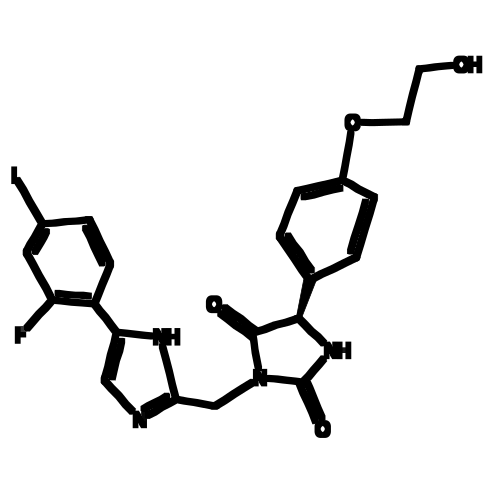 O=C1N[C@H](c2ccc(OCCO)cc2)C(=O)N1Cc1ncc(-c2ccc(I)cc2F)[nH]1